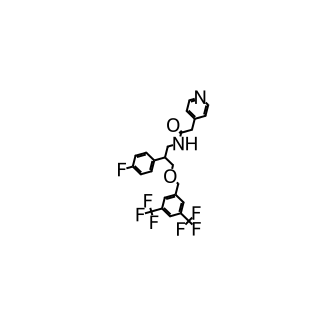 O=C(Cc1ccncc1)NCC(COCc1cc(C(F)(F)F)cc(C(F)(F)F)c1)c1ccc(F)cc1